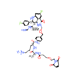 CN/C(=N\C=N)[C@H]1c2nn(COCc3ccc(NC(=O)[C@H](CCCCN)NC(=O)[C@H](C)NC(=O)CCOCCN4C(=O)C=CC4=O)cc3)c(=O)c3cc(F)cc(c23)N[C@@H]1c1ccc(F)cc1